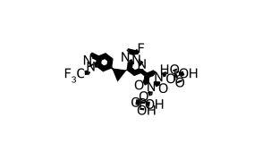 O=c1c(-c2cc([C@@H]3C[C@H]3c3ccc4cnn(CC(F)(F)F)c4c3)c3ncc(F)n3n2)cn(COP(=O)(O)O)c(=O)n1COP(=O)(O)O